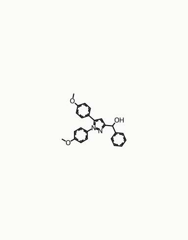 COc1ccc(-c2cc(C(O)c3ccccc3)nn2-c2ccc(OC)cc2)cc1